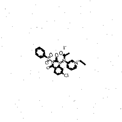 CC[n+]1cccc(N(C(C)=O)n2c(=O)n(S(=O)(=O)c3ccccc3)c(=O)c3ccc(Cl)cc32)c1.[I-]